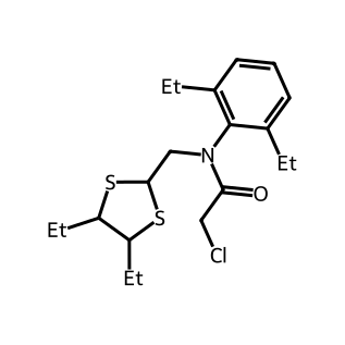 CCc1cccc(CC)c1N(CC1SC(CC)C(CC)S1)C(=O)CCl